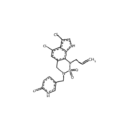 C=CCN1c2c(cc(Cl)c3c(Cl)c[nH]c23)CN(Cc2ccc(=O)[nH]c2)S1(=O)=O